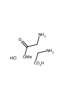 COC(=O)CN.Cl.NCC(=O)O